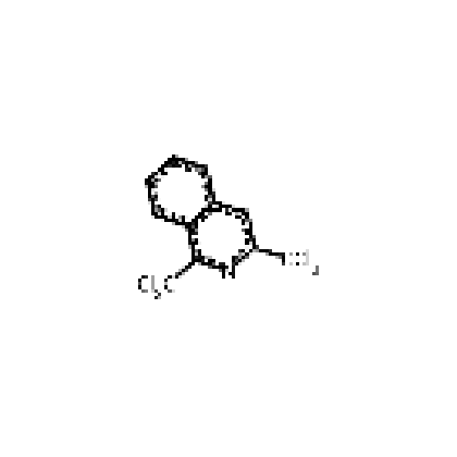 ClC(Cl)(Cl)c1cc2ccccc2c(C(Cl)(Cl)Cl)n1